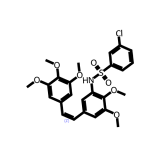 COc1cc(/C=C\c2cc(OC)c(OC)c(OC)c2)cc(NS(=O)(=O)c2cccc(Cl)c2)c1OC